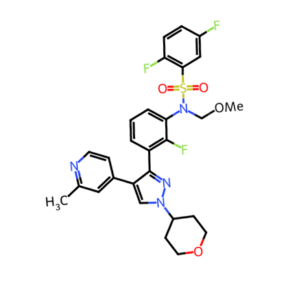 COCN(c1cccc(-c2nn(C3CCOCC3)cc2-c2ccnc(C)c2)c1F)S(=O)(=O)c1cc(F)ccc1F